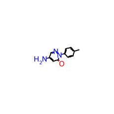 Cc1ccc(-n2ncc(N)cc2=O)cc1